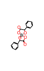 O=C1O[B-]2(OC(=O)C(c3ccccc3)O2)OC1c1ccccc1